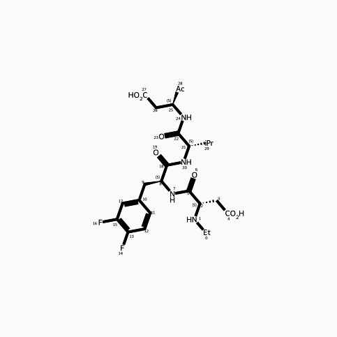 CCN[C@@H](CC(=O)O)C(=O)N[C@@H](Cc1ccc(F)c(F)c1)C(=O)N[C@H](C(=O)N[C@@H](CC(=O)O)C(C)=O)C(C)C